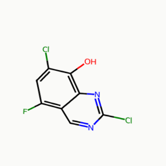 Oc1c(Cl)cc(F)c2cnc(Cl)nc12